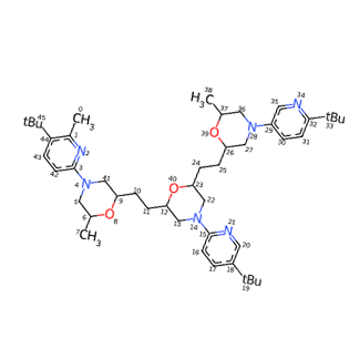 Cc1nc(N2CC(C)OC(CCC3CN(c4ccc(C(C)(C)C)cn4)CC(CCC4CN(c5ccc(C(C)(C)C)nc5)CC(C)O4)O3)C2)ccc1C(C)(C)C